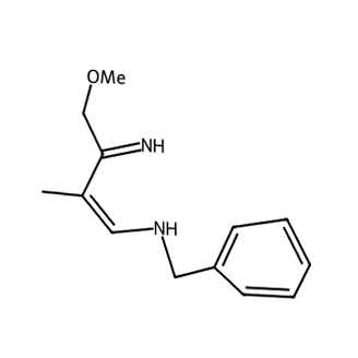 COCC(=N)/C(C)=C\NCc1ccccc1